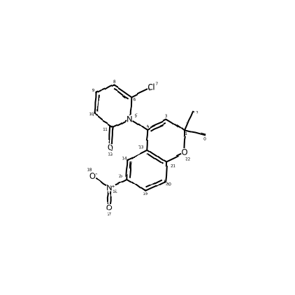 CC1(C)C=C(n2c(Cl)cccc2=O)c2cc([N+](=O)[O-])ccc2O1